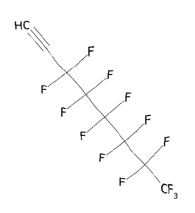 C#CC(F)(F)C(F)(F)C(F)(F)C(F)(F)C(F)(F)C(F)(F)F